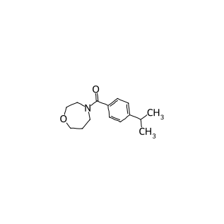 CC(C)c1ccc(C(=O)N2CCCOCC2)cc1